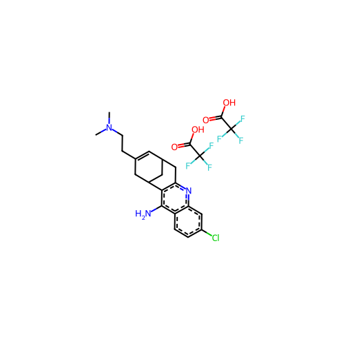 CN(C)CCC1=CC2Cc3nc4cc(Cl)ccc4c(N)c3C(C1)C2.O=C(O)C(F)(F)F.O=C(O)C(F)(F)F